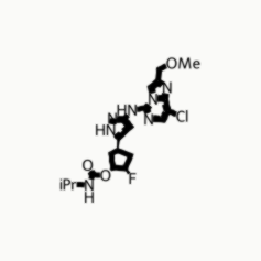 COCc1cn2c(Nc3cc([C@H]4C[C@@H](F)[C@@H](OC(=O)NC(C)C)C4)[nH]n3)ncc(Cl)c2n1